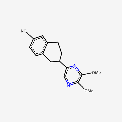 COc1ncc(C2CCc3cc(C#N)ccc3C2)nc1OC